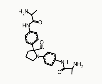 CC(N)C(=O)Nc1ccc(N2CCC[C@@]2([C]=O)c2ccc(NC(=O)C(C)N)cc2)cc1